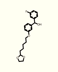 OC(c1cccc(F)c1)c1cccc(OCCCCCC2OCCO2)c1